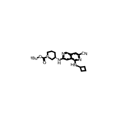 CC(C)(C)OC(=O)N1CCC[C@H](Nc2cc3c(NC4CCC4)nc(C#N)cc3cn2)C1